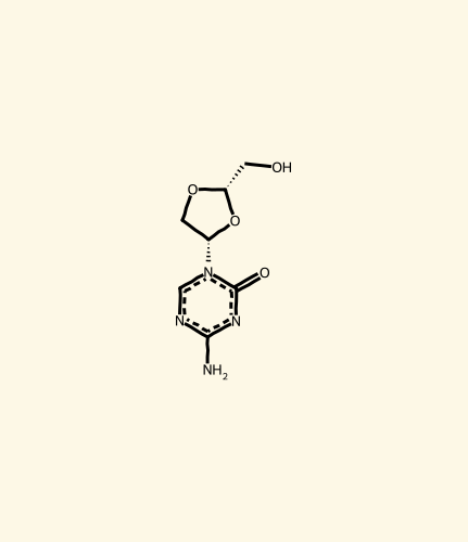 Nc1ncn([C@@H]2CO[C@H](CO)O2)c(=O)n1